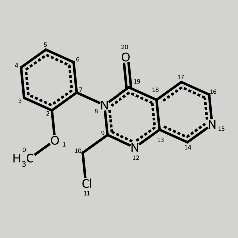 COc1ccccc1-n1c(CCl)nc2cnccc2c1=O